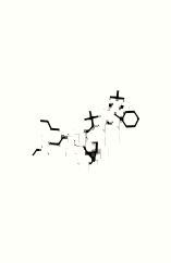 CCCC[C@@H](NC(=O)[C@@H]1[C@@H]2[C@H](CN1C(=O)[C@@H](NC(=O)NC1(CS(=O)(=O)C(C)(C)C)CCCCC1)C(C)(C)C)C2(Cl)Cl)C(=O)C(=O)NCC